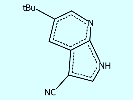 CC(C)(C)c1cnc2[nH]cc(C#N)c2c1